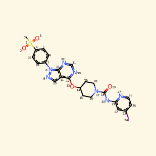 CS(=O)(=O)c1ccc(-n2ncc3c(OC4CCN(C(=O)[N]c5cc(I)ccn5)CC4)ncnc32)cc1